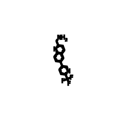 NCc1ccc2cc(-c3ccc(C(F)(F)F)nc3)ccc2n1